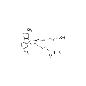 Cc1ccc2c(c1)C(CCCCCCCCN(C)C)(COCCOCCOCCO)c1cc(C)ccc1-2